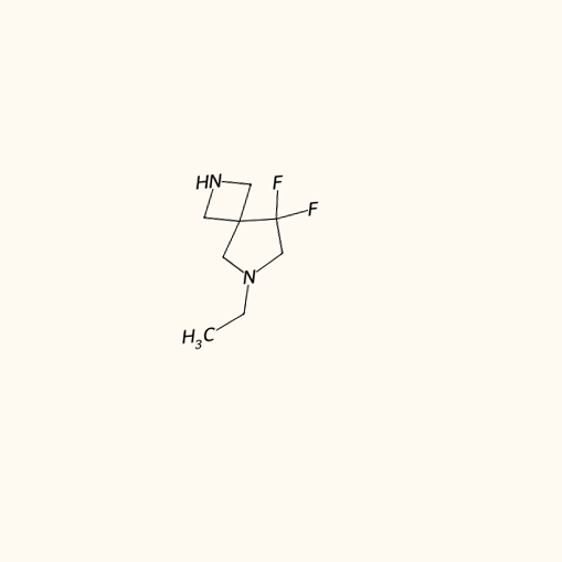 CCN1CC(F)(F)C2(CNC2)C1